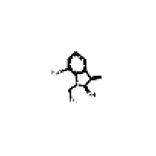 Cc1cccc2c1N(CC(F)(F)F)C(=N)C2=O